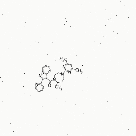 Cc1cc(C)nc(N2CC[C@@H](C)N(C(=O)c3c(-c4ccccn4)nn4ccccc34)CC2)n1